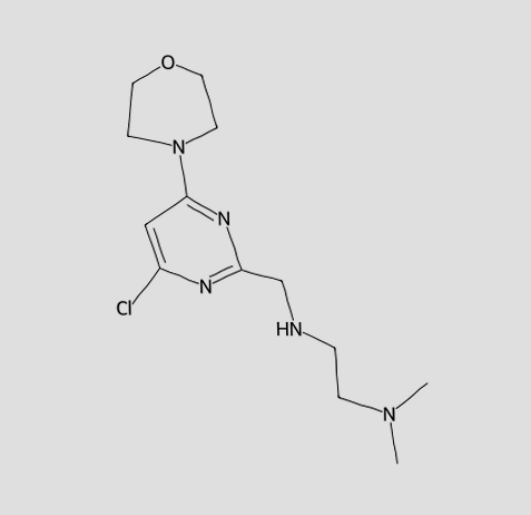 CN(C)CCNCc1nc(Cl)cc(N2CCOCC2)n1